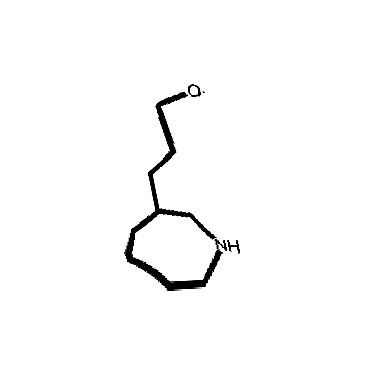 [O]CCCC1CCCCNC1